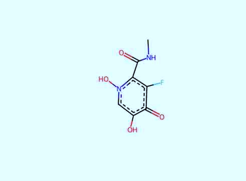 CNC(=O)c1c(F)c(=O)c(O)cn1O